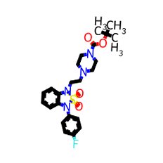 CC(C)(C)OC(=O)N1CCN(CCN2c3ccccc3N(c3ccc(F)cc3)S2(=O)=O)CC1